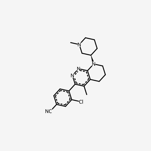 Cc1c(-c2ccc(C#N)cc2Cl)nnc2c1CCCN2[C@@H]1CCCN(C)C1